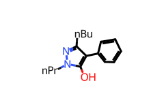 CCCCc1nn(CCC)c(O)c1-c1ccccc1